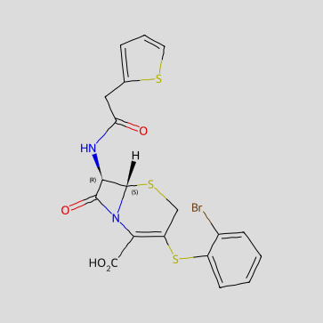 O=C(Cc1cccs1)N[C@@H]1C(=O)N2C(C(=O)O)=C(Sc3ccccc3Br)CS[C@@H]12